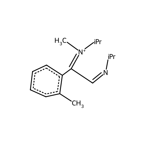 Cc1ccccc1C(/C=N\C(C)C)=[N+](\C)C(C)C